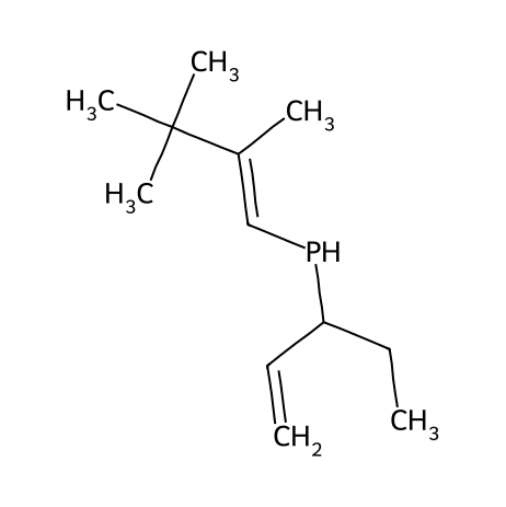 C=CC(CC)P/C=C(\C)C(C)(C)C